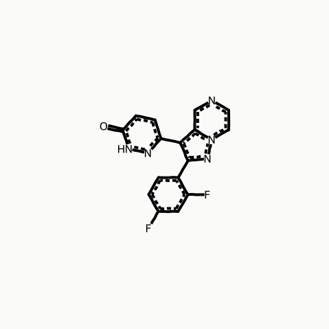 O=c1ccc(-c2c(-c3ccc(F)cc3F)nn3ccncc23)n[nH]1